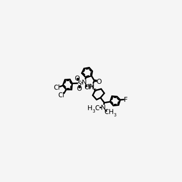 CN(C)C(c1ccc(F)cc1)C1CCC(NC(=O)c2ccccc2N(C)S(=O)(=O)c2ccc(Cl)c(Cl)c2)CC1